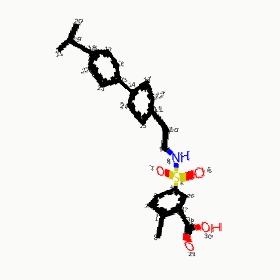 Cc1ccc(S(=O)(=O)NCCc2ccc(-c3ccc(C(C)C)cc3)cc2)cc1C(=O)O